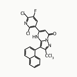 O=c1cc(-c2cc(F)c(Cl)nc2Cl)[nH]c2c(-c3cccc4ccccc34)c(C(Cl)(Cl)Cl)nn12